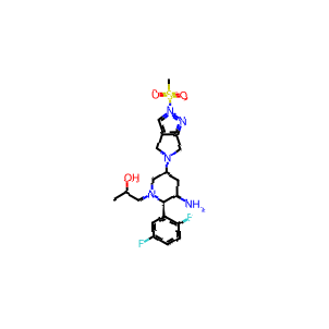 CC(O)CN1CC(N2Cc3cn(S(C)(=O)=O)nc3C2)CC(N)[C@H]1c1cc(F)ccc1F